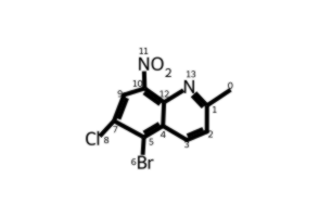 Cc1ccc2c(Br)c(Cl)cc([N+](=O)[O-])c2n1